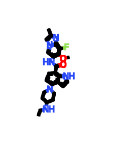 CCNC1CCN(c2ccc(C(=O)Nc3cn4cc(C)nc4c(F)c3OC)c3[nH]ccc23)CC1